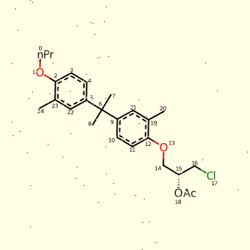 [CH2][CH]COc1ccc(C(C)(C)c2ccc(OC[C@H](CCl)OC(C)=O)c(C)c2)cc1C